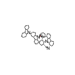 N#Cc1cccc(-c2ccccc2-n2c3ccccc3c3cc(-n4c5ccccc5c5ccccc54)ccc32)c1-n1c2ccccc2c2cccc(C#N)c21